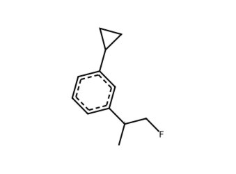 C[C](CF)c1cccc(C2CC2)c1